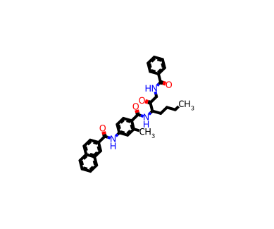 CCCCC(NC(=O)c1ccc(NC(=O)c2ccc3ccccc3c2)cc1C)C(=O)CNC(=O)c1ccccc1